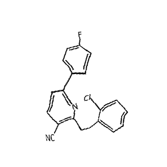 N#Cc1ccc(-c2ccc(F)cc2)nc1Cc1ccccc1Cl